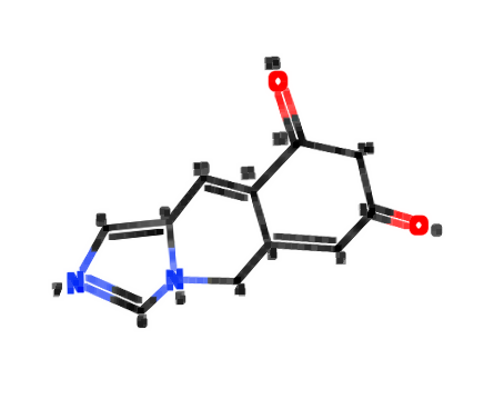 O=C1C=C2Cn3cncc3C=C2C(=O)C1